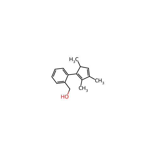 CC1=CC(C)C(c2ccccc2CO)=C1C